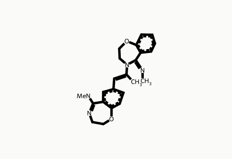 C/N=C1/c2ccccc2OCCN1/C(C)=C/c1ccc2c(c1)C(NC)=NCCO2